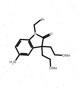 COCCC1(CCOC)C(=O)N(CC(C)C)c2ccc(N)cc21